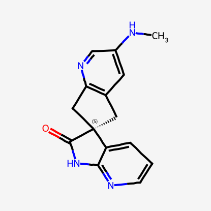 CNc1cnc2c(c1)C[C@@]1(C2)C(=O)Nc2ncccc21